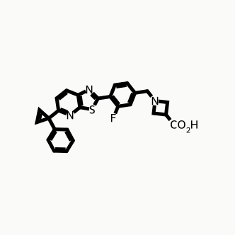 O=C(O)C1CN(Cc2ccc(-c3nc4ccc(C5(c6ccccc6)C=C5)nc4s3)c(F)c2)C1